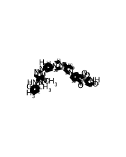 Cc1cccc(C)c1Nc1nn(C)c2nc(Nc3ccc(N4CCN(CC5CCN(c6ccc7c(c6)C(=O)N(C6CCC(=O)NC6=O)C7=O)CC5)CC4)cc3)ncc12